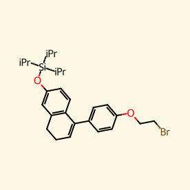 CC(C)[Si](Oc1ccc2c(c1)CCC=C2c1ccc(OCCBr)cc1)(C(C)C)C(C)C